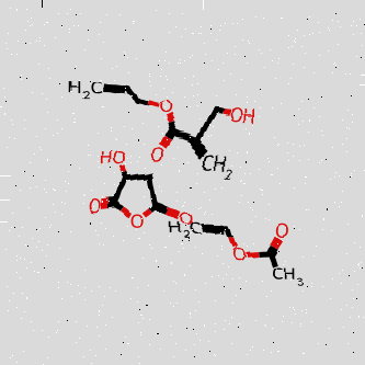 C=CCOC(=O)C(=C)CO.C=COC(C)=O.O=C1CC(O)C(=O)O1